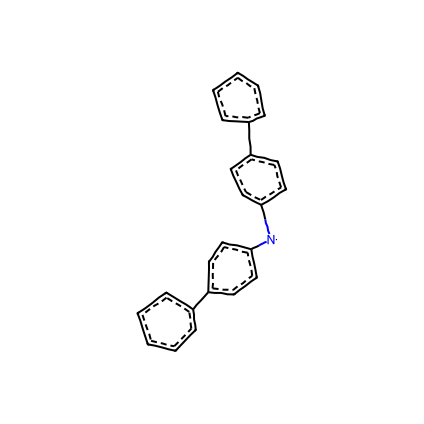 c1ccc(-c2ccc([N]c3ccc(-c4ccccc4)cc3)cc2)cc1